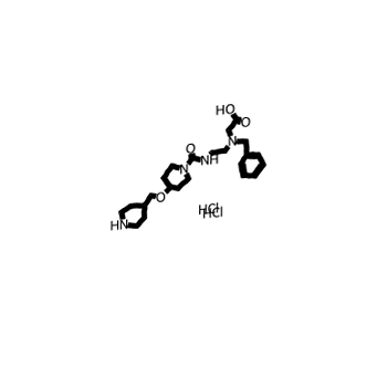 Cl.Cl.O=C(O)CN(CCNC(=O)N1CCC(OCC2CCNCC2)CC1)Cc1ccccc1